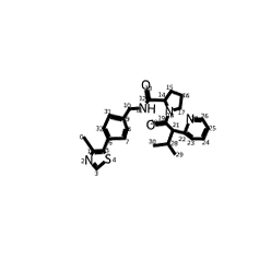 Cc1ncsc1-c1ccc(CNC(=O)C2CCCN2C(=O)C(c2ccccn2)C(C)C)cc1